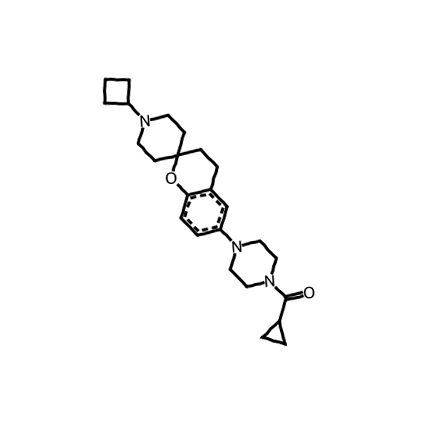 O=C(C1CC1)N1CCN(c2ccc3c(c2)CCC2(CCN(C4CCC4)CC2)O3)CC1